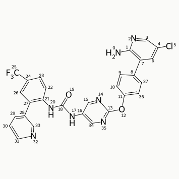 Nc1ncc(Cl)cc1-c1ccc(Oc2ncc(NC(=O)Nc3ccc(C(F)(F)F)cc3-c3cccnc3)cn2)cc1